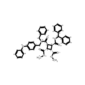 COC(=O)[C@@H]1[C@H](C(=O)OC)[C@@H](C(=O)N(Cc2ccccc2)Cc2ccc(Oc3ccccc3)cc2)[C@H]1C(=O)OC(c1ccccc1)c1ccccc1